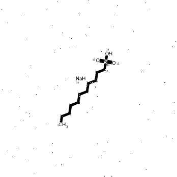 CCCCCCCCCCCS(=O)(=O)O.[NaH]